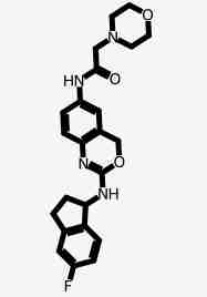 O=C(CN1CCOCC1)Nc1ccc2c(c1)COC(NC1CCc3cc(F)ccc31)=N2